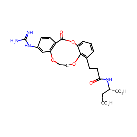 N=C(N)Nc1ccc2c(c1)OCCOc1c(CCC(=O)N[C@@H](CC(=O)O)C(=O)O)cccc1OC2=O